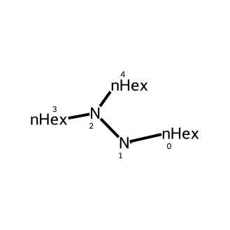 CCCCCC[N]N(CCCCCC)CCCCCC